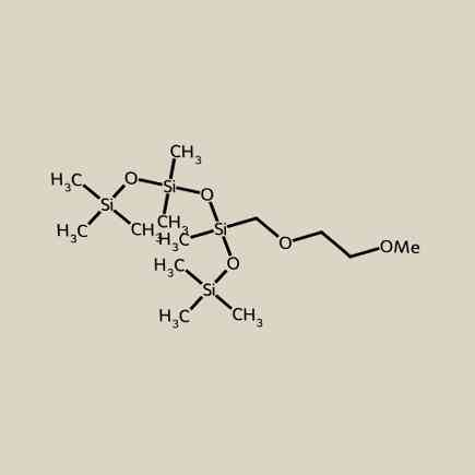 COCCOC[Si](C)(O[Si](C)(C)C)O[Si](C)(C)O[Si](C)(C)C